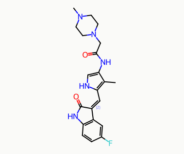 Cc1c(NC(=O)CN2CCN(C)CC2)c[nH]c1/C=C1\C(=O)Nc2ccc(F)cc21